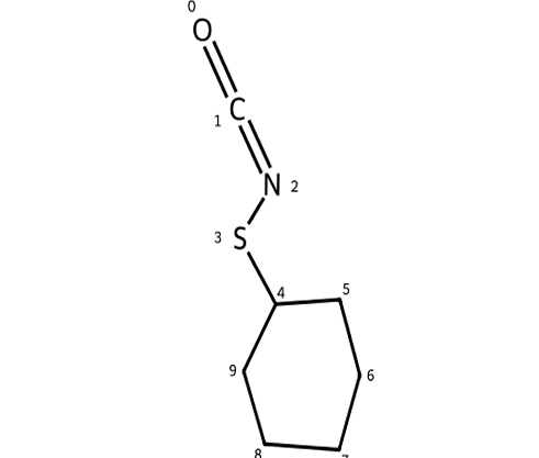 O=C=NSC1CCCCC1